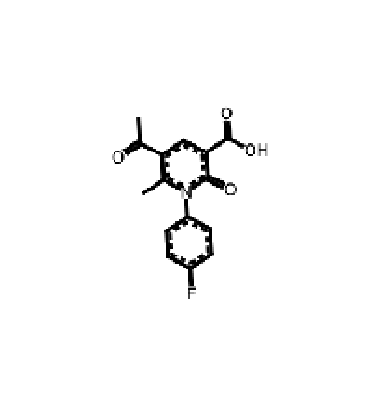 CC(=O)c1cc(C(=O)O)c(=O)n(-c2ccc(F)cc2)c1C